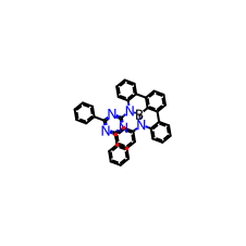 c1ccc(-c2nc(-c3ccccc3)nc(N3B4c5c(cccc5-c5ccccc53)-c3ccccc3N4c3ccccc3)n2)cc1